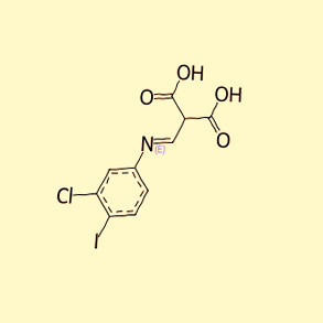 O=C(O)C(/C=N/c1ccc(I)c(Cl)c1)C(=O)O